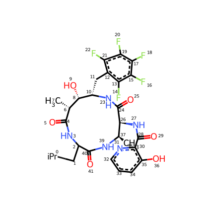 CC(C)CC1NC(=O)[C@H](C)[C@H](O)[C@H](Cc2c(F)c(F)c(F)c(F)c2F)NC(=O)[C@@H](NC(=O)c2ncccc2O)[C@@H](C)NC1=O